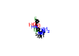 [2H]C([2H])([2H])c1nc(-c2ccc(NC(=O)C(O)c3cccc(F)c3)c(F)c2F)c2c(N)ncc(C)n12